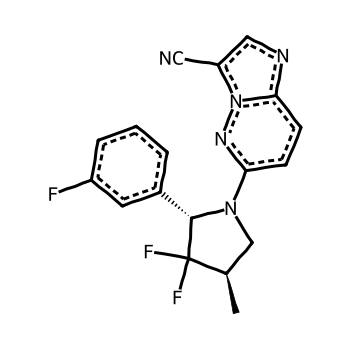 C[C@@H]1CN(c2ccc3ncc(C#N)n3n2)[C@@H](c2cccc(F)c2)C1(F)F